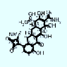 CNc1c(-c2ccc(O)c3c2C[C@H]2C[C@H]4[C@H](N(C)C)C(O)=C(C(N)=O)C5(O)O[C@]45C(O)=C2C3=O)c(=O)c1=O